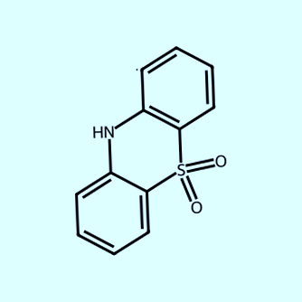 O=S1(=O)c2ccc[c]c2Nc2ccccc21